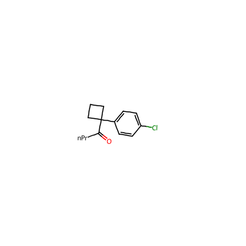 CCCC(=O)C1(c2ccc(Cl)cc2)CCC1